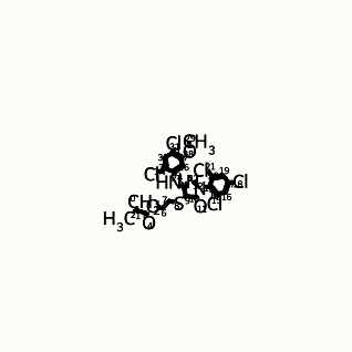 C=C(C)C(=O)OCCSC1C(=O)N(c2c(Cl)cc(Cl)cc2Cl)N=C1Nc1cc(OC)c(Cl)cc1Cl